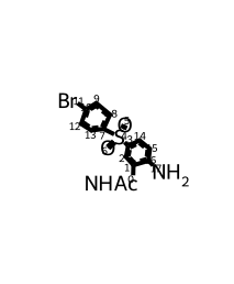 CC(=O)Nc1cc(S(=O)(=O)c2ccc(Br)cc2)ccc1N